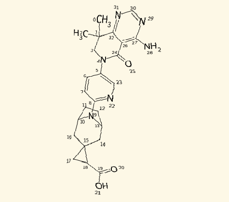 CC1(C)CN(c2ccc(N3C4CCC3CC3(C4)CC3C(=O)O)nc2)C(=O)c2c(N)ncnc21